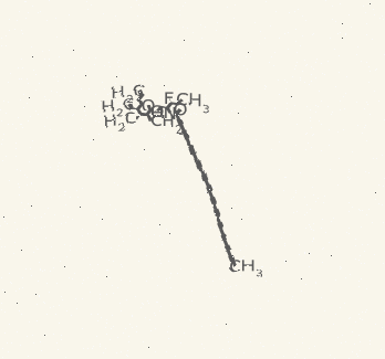 C=CCC1O[C@H](OC[C@H](NC(=O)C#CC#CC#CC#CC#CC#CC#CC#CC#CC#CC#CC#CC)[C@H](F)CC)C(C=C)[C@@H](C=C)[C@H]1C=C